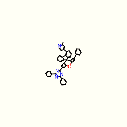 Cc1cc(-c2cccc3c2-c2ccccc2C32c3ccc(-c4nc(-c5ccccc5)nc(-c5ccccc5)n4)cc3Oc3ccc(-c4ccccc4)cc32)ccn1